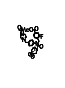 COC(=O)c1ccc(CN(C(=O)N2CCS(=O)(=O)CC2)c2ccc(CN3CCN(C4COC4)CC3)cc2)c(F)c1